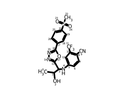 CC(O)C(Nc1ccc(C#N)c(C(F)(F)F)c1)c1nnc(-c2ccc(S(C)(=O)=O)cc2)o1